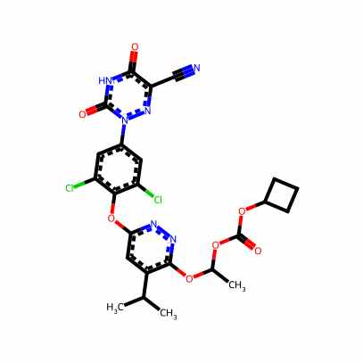 CC(OC(=O)OC1CCC1)Oc1nnc(Oc2c(Cl)cc(-n3nc(C#N)c(=O)[nH]c3=O)cc2Cl)cc1C(C)C